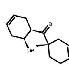 C[C@@]1(C(=O)[C@@H]2CC=CC[C@@H]2O)CC=CCC1